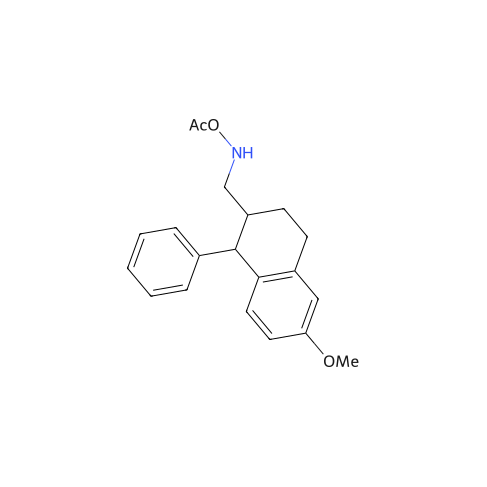 COc1ccc2c(c1)CCC(CNOC(C)=O)C2c1ccccc1